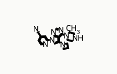 C[C@H]1CNCCN1c1ncnc2c1c(N1CCC1)cn2-c1cc(C#N)ccn1